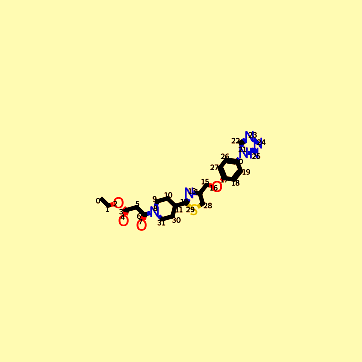 CCOC(=O)CC(=O)N1CCC(C2=NC(COc3ccc(-n4cnnn4)cc3)CS2)CC1